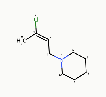 C/C(Cl)=C\CN1CCCCC1